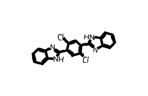 Clc1cc(-c2nc3ccccc3[nH]2)c(Cl)cc1-c1nc2ccccc2[nH]1